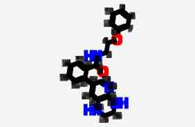 O=C(NCCOc1ccccc1)c1ccccc1-c1cnc2c(c1)NCCN2